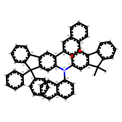 CC1(C)c2ccccc2-c2ccc(N(c3cc4c(cc3-c3ccc5ccccc5c3)-c3ccccc3C4(c3ccccc3)c3ccccc3)c3cccc4ccccc34)cc21